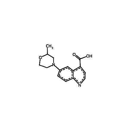 CC1CN(c2ccc3nccc(C(=O)O)c3c2)CCO1